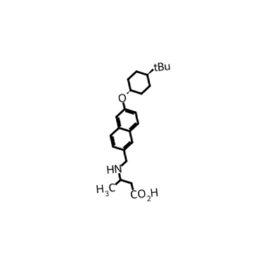 CC(CC(=O)O)NCc1ccc2cc(O[C@H]3CC[C@H](C(C)(C)C)CC3)ccc2c1